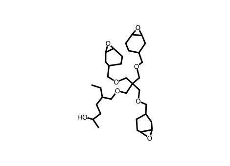 CCC(CCC(C)O)COCC(COCC1CCC2OC2C1)(COCC1CCC2OC2C1)COCC1CCC2OC2C1